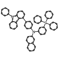 c1ccc(-n2c3ccccc3c3c(-c4ccc(N(c5cccc([Si](c6ccccc6)(c6ccccc6)c6ccccc6)c5)c5ccc6ccccc6c5)cc4)cccc32)cc1